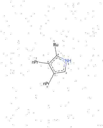 CCCc1c[nH][c]([Ru])c1CCC